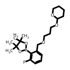 CC1(C)OB(c2c(F)cccc2COCCCOC2CCCCO2)OC1(C)C